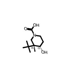 CC(C)(C)[C@]1(C)CN(C(=O)O)CC[C@@H]1O